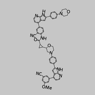 COc1cc(C#N)cc(-c2ccnc3[nH]c(-c4ccc(N5CCOC(C6CC6C(=O)Nc6ccc(-c7ccnc8[nH]c(-c9ccc(N%10CCOCC%10)cc9)cc78)cc6C#N)C5)cc4)cc23)c1